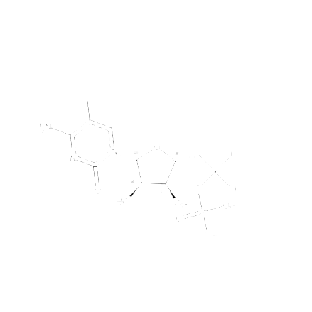 CCC(F)(C[C@H]1O[C@@H](n2cc(I)c(N)nc2=O)[C@H](O)[C@@H]1O)OP(=O)(O)O